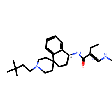 CC/C(=C\NC)C(=O)N[C@H]1CCC2(CCN(CCC(C)(C)C)CC2)c2ccccc21